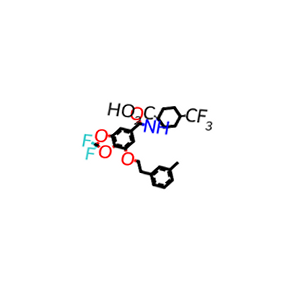 Cc1cccc(CCOc2cc(C(=O)N[C@]3(C(=O)O)CC[C@H](C(F)(F)F)CC3)cc3c2OC(F)(F)O3)c1